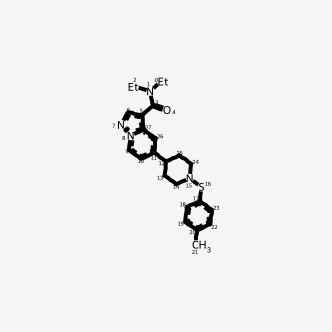 CCN(CC)C(=O)c1cnn2ccc(C3CCN(Sc4ccc(C)cc4)CC3)cc12